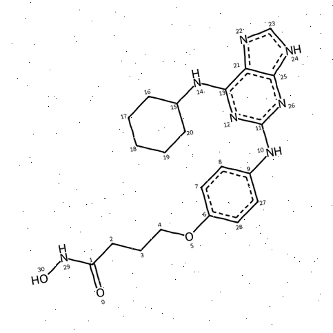 O=C(CCCOc1ccc(Nc2nc(NC3CCCCC3)c3nc[nH]c3n2)cc1)NO